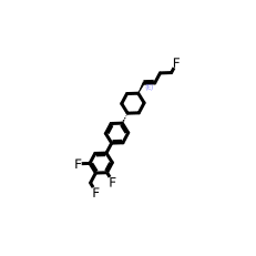 FCC/C=C/[C@H]1CC[C@H](c2ccc(-c3cc(F)c(CF)c(F)c3)cc2)CC1